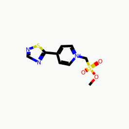 COS(=O)(=O)C[n+]1ccc(-c2ncns2)cc1